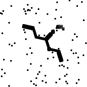 C=CCC(=O)OC=C.[AlH3]